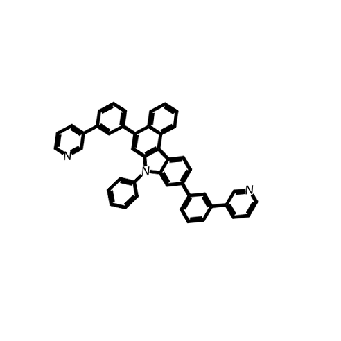 c1ccc(-n2c3cc(-c4cccc(-c5cccnc5)c4)ccc3c3c4ccccc4c(-c4cccc(-c5cccnc5)c4)cc32)cc1